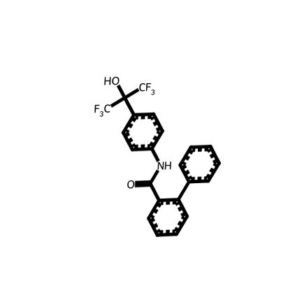 O=C(Nc1ccc(C(O)(C(F)(F)F)C(F)(F)F)cc1)c1ccccc1-c1ccccc1